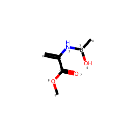 C=C(NB(C)O)C(=O)OC